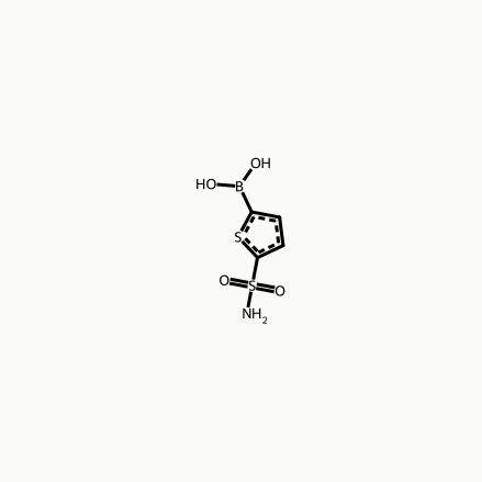 NS(=O)(=O)c1ccc(B(O)O)s1